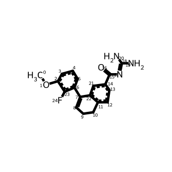 COc1cccc(C2=CCCc3ccc(C(=O)N=C(N)N)cc32)c1F